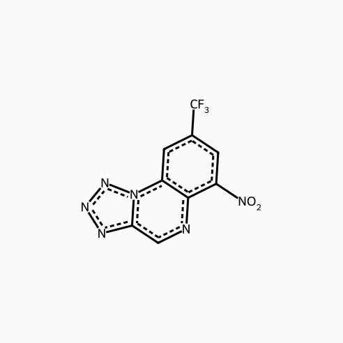 O=[N+]([O-])c1cc(C(F)(F)F)cc2c1ncc1nnnn12